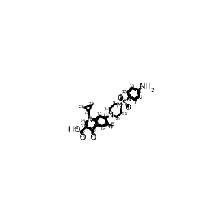 Nc1ccc(S(=O)(=O)N2CCN(c3cc4c(cc3F)c(=O)c(C(=O)O)cn4C3CC3)CC2)cc1